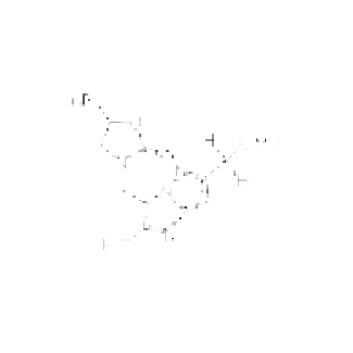 [2H]C([2H])(OC)c1nn2c(CN3CC(CCC)OC3=O)c(C(F)(F)F)nc2s1